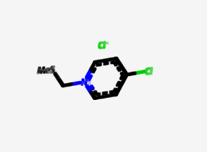 CSC[n+]1ccc(Cl)cc1.[Cl-]